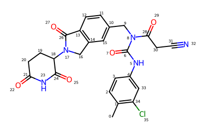 Cc1ccc(NC(=O)N(Cc2ccc3c(c2)CN(C2CCC(=O)NC2=O)C3=O)C(=O)CC#N)cc1Cl